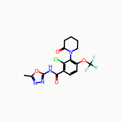 Cc1nnc(NC(=O)c2ccc(OC(F)(F)F)c(N3CCCCC3=O)c2Cl)o1